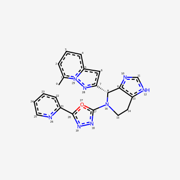 Cc1cccc2cc([C@@H]3c4nc[nH]c4CCN3c3nnc(-c4ccccn4)o3)nn12